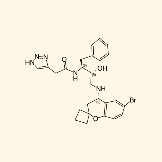 O=C(Cc1c[nH]nn1)N[C@@H](Cc1ccccc1)[C@H](O)CN[C@H]1CC2(CCC2)Oc2ccc(Br)cc21